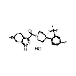 Cl.O=C(c1n[nH]c2c1CCNC2)N1CCC(c2ccc(F)cc2C(F)(F)F)CC1